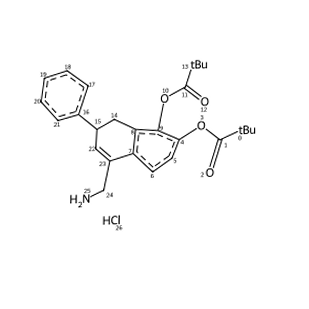 CC(C)(C)C(=O)Oc1ccc2c(c1OC(=O)C(C)(C)C)CC(c1ccccc1)C=C2CN.Cl